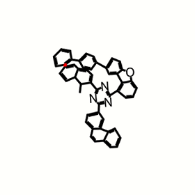 CC1C(c2nc(-c3ccc4ccc5ccccc5c4c3)nc(-c3cccc4oc5ccc(-c6ccc(-c7ccccc7)cc6)cc5c34)n2)=CC=C2C=CC=CC21